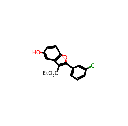 CCOC(=O)c1c(-c2cccc(Cl)c2)oc2ccc(O)cc12